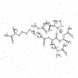 C[C@@H](OC(=O)[C@@H](N)CC(N)=O)[C@H](N)C(=O)O.C[C@H](N)C(=O)O.C[C@H](N)C(=O)O.NCCCC[C@H](N)C(=O)O.O=C(O)[C@@H]1CCCN1